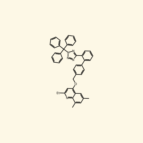 CCc1cc(OCc2ccc(-c3ccccc3-c3nnn(C(c4ccccc4)(c4ccccc4)c4ccccc4)n3)cc2)c2cc(C)cc(C)c2n1